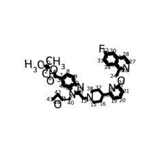 CC(C)(C)OC(=O)c1ccc2nc(CN3CCC(c4cccc(OCc5nccc6cc(F)ccc56)n4)CC3)n(C[C@@H]3CCO3)c2c1